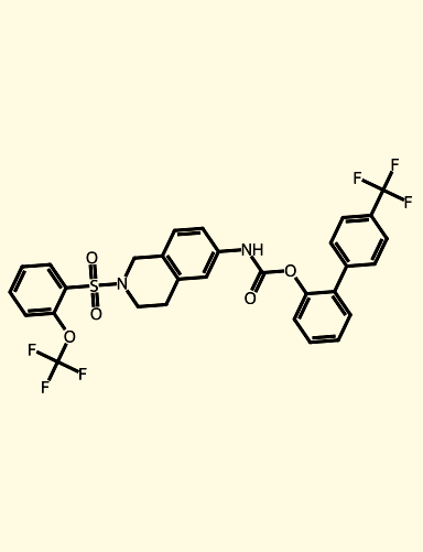 O=C(Nc1ccc2c(c1)CCN(S(=O)(=O)c1ccccc1OC(F)(F)F)C2)Oc1ccccc1-c1ccc(C(F)(F)F)cc1